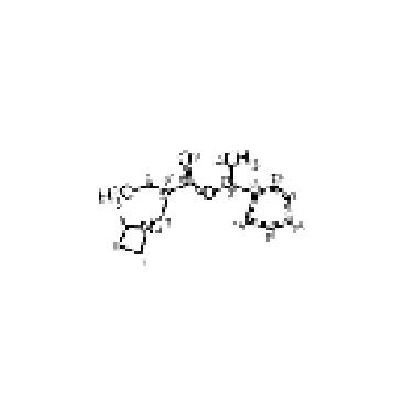 CC[C@H](CN1CCC1)C(=O)O[C@@H](C)c1ccccc1